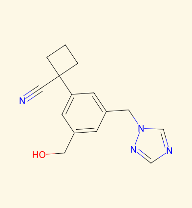 N#CC1(c2cc(CO)cc(Cn3cncn3)c2)CCC1